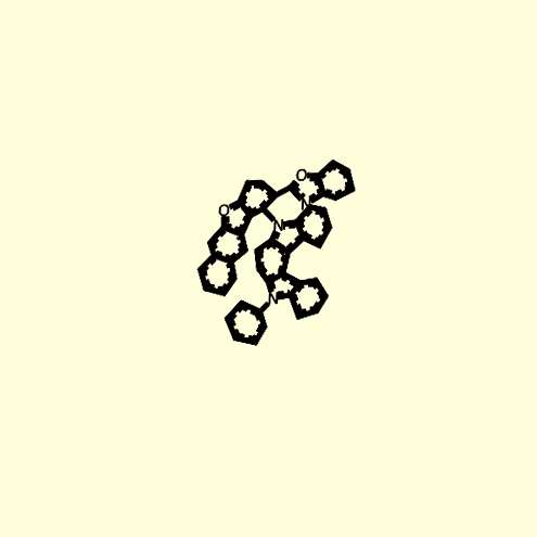 c1ccc(-n2c3ccccc3c3c4c5ccccc5n(-c5c(-c6nc7ccccc7o6)ccc6oc7cc8ccccc8cc7c56)c4ccc32)cc1